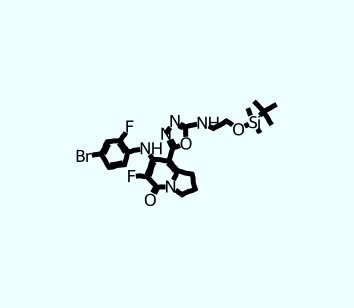 CC(C)(C)[Si](C)(C)OCCNc1nnc(-c2c(Nc3ccc(Br)cc3F)c(F)c(=O)n3c2CCC3)o1